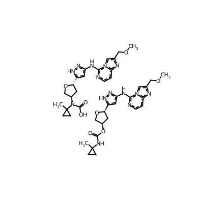 COCc1cn2c(Nc3cc([C@@H]4C[C@@H](N(C(=O)O)C5(C)CC5)CO4)[nH]n3)nccc2n1.COCc1cn2c(Nc3cc([C@H]4C[C@@H](OC(=O)NC5(C)CC5)CO4)[nH]n3)nccc2n1